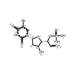 C=CC(OP(=O)(O)O)[C@H]1O[C@@H](n2cc(Br)c(=O)[nH]c2=O)C[C@@H]1O